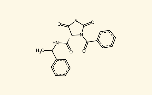 CC(NC(=O)[C@@H]1C(=O)SC(=O)N1C(=O)c1ccccc1)c1ccccc1